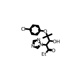 CCC(=O)C(C(O)C(C)(C)Oc1ccc(Cl)cc1)n1cncn1